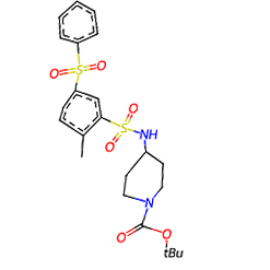 Cc1ccc(S(=O)(=O)c2ccccc2)cc1S(=O)(=O)NC1CCN(C(=O)OC(C)(C)C)CC1